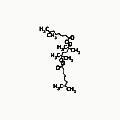 CC(C)CCCCCC(=O)OOC(C)(C)CCC(C)(C)OOC(=O)CCCCCC(C)C